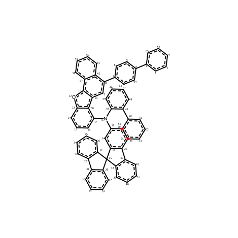 c1ccc(-c2ccc(-c3cc4c(oc5cccc(N(c6ccc7c(c6)C6(c8ccccc8-c8ccccc86)c6ccccc6-7)c6ccccc6-c6ccccc6)c54)c4ccccc34)cc2)cc1